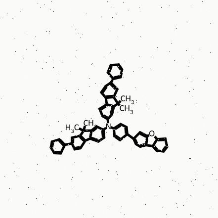 CC1(C)c2cc(-c3ccccc3)ccc2-c2ccc(N(c3ccc(-c4ccc5c(c4)oc4ccccc45)cc3)c3ccc4c(c3)C(C)(C)c3cc(-c5ccccc5)ccc3-4)cc21